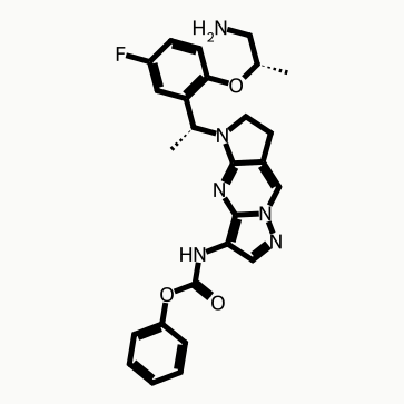 C[C@H](c1cc(F)ccc1O[C@@H](C)CN)N1CCc2cn3ncc(NC(=O)Oc4ccccc4)c3nc21